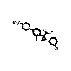 CN(C(=O)C1(c2ccc(N3CCN(C(=O)O)CC3)cc2F)CC1)[C@H]1CC[C@H](O)CC1